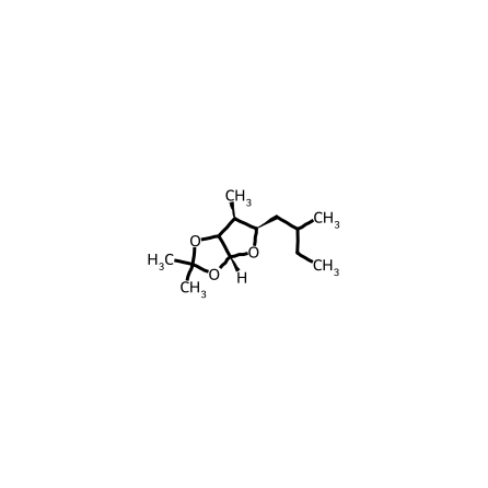 CCC(C)C[C@H]1O[C@@H]2OC(C)(C)OC2[C@H]1C